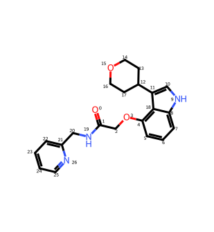 O=C(COc1cccc2[nH]cc(C3CCOCC3)c12)NCc1ccccn1